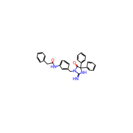 N=C1NC(c2ccccc2)(c2ccccc2)C(=O)N1Cc1cccc(NC(=O)Cc2ccccc2)c1